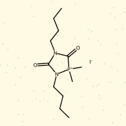 CCCCN1C(=O)N(CCCC)[P+](C)(C)C1=O.[I-]